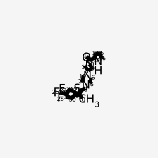 Cc1c(CN2CCN(C3CN(C(=O)c4ccc[nH]4)C3)CC2)sc2cc(C(F)(F)F)ccc12